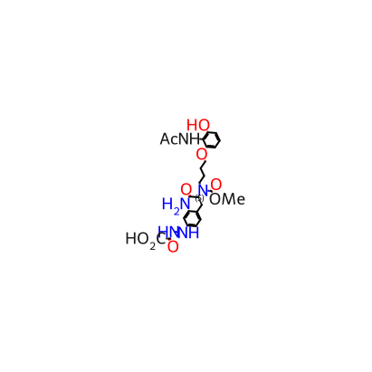 COC(=O)N(CCCCOc1cccc(O)c1NC(C)=O)[C@@H](Cc1ccc(NNC(=O)C(=O)O)cc1)C(N)=O